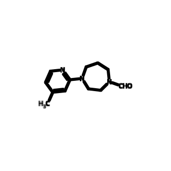 Cc1ccnc(N2CCCN(C=O)CC2)c1